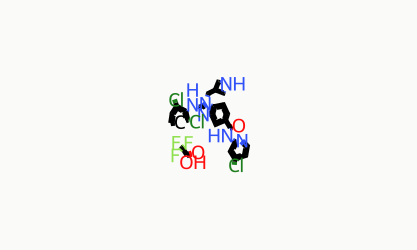 O=C(Nc1cc(Cl)ccn1)c1ccc2c(c1)nc(Nc1c(Cl)cccc1Cl)n2CC1CNC1.O=C(O)C(F)(F)F